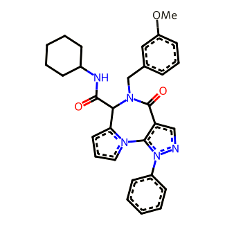 COc1cccc(CN2C(=O)c3cnn(-c4ccccc4)c3-n3cccc3C2C(=O)NC2CCCCC2)c1